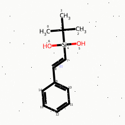 CC(C)(C)[Si](O)(O)/C=C/c1ccccc1